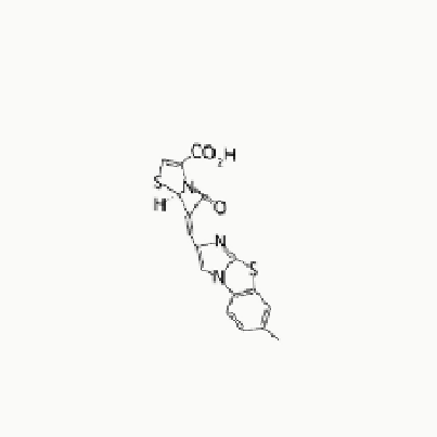 Cc1ccc2c(c1)sc1nc(C=C3C(=O)N4C(C(=O)O)=CS[C@H]34)cn12